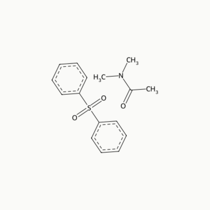 CC(=O)N(C)C.O=S(=O)(c1ccccc1)c1ccccc1